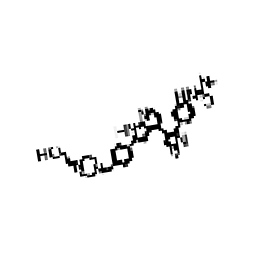 CN(C)C(=O)Nc1ccc(-c2nn(C)cc2-c2ccnc3[nH]c(-c4ccc(CN5CCN(CCO)CC5)cc4)cc23)cc1